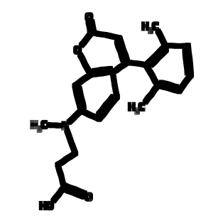 Cc1cccc(C)c1-c1cc(=O)oc2cc(N(C)CCC(=O)O)ccc12